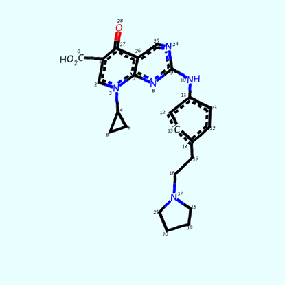 O=C(O)c1cn(C2CC2)c2nc(Nc3ccc(CCN4CCCC4)cc3)ncc2c1=O